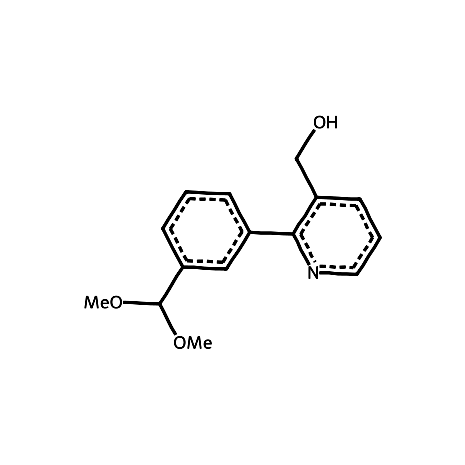 COC(OC)c1cccc(-c2ncccc2CO)c1